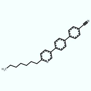 CCCCCCCc1ccc(-c2ccc(-c3ccc(C#N)cc3)cc2)cn1